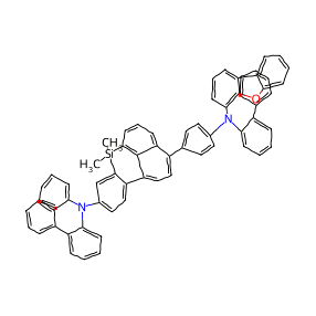 C[Si]1(C)c2cc(N(c3ccccc3)c3ccccc3-c3ccccc3)ccc2-c2ccc(-c3ccc(N(c4ccccc4-c4ccccc4)c4cccc5c4oc4ccccc45)cc3)c3cccc1c23